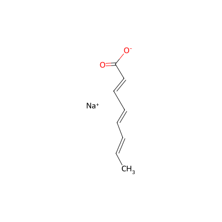 C/C=C/C=CC=CC(=O)[O-].[Na+]